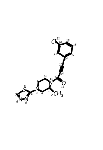 CC1CN(c2nncs2)CCN1C(=O)C#Cc1cccc(Cl)c1